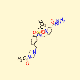 CCS(=O)(=O)N(Cc1ccc(C(=O)NN)cn1)c1cccc(CN2CCN(C(C)=O)CC2)c1